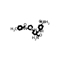 B[S+]([O-])c1ccc(Nc2nc(N3CCC[C@@H](NC(=O)c4ccc(C)cc4)C3)ccc2C(N)=O)cc1